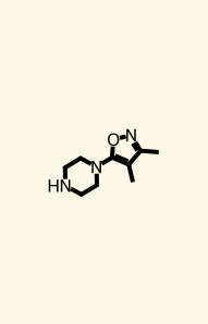 Cc1noc(N2CCNCC2)c1C